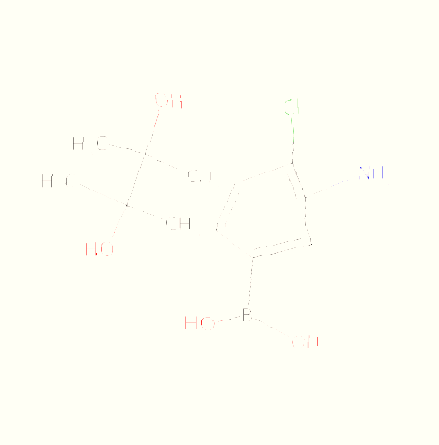 CC(C)(O)C(C)(C)O.Nc1cc(B(O)O)ccc1Cl